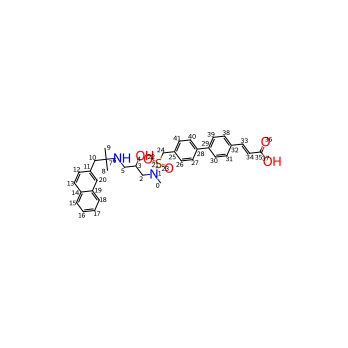 CN(CC(O)CNC(C)(C)Cc1ccc2ccccc2c1)S(=O)(=O)Cc1ccc(-c2ccc(C=CC(=O)O)cc2)cc1